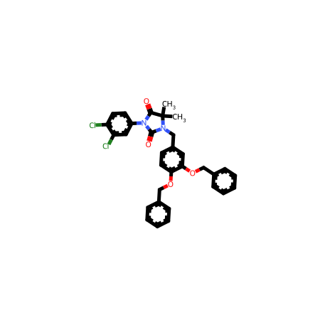 CC1(C)C(=O)N(c2ccc(Cl)c(Cl)c2)C(=O)N1Cc1ccc(OCc2ccccc2)c(OCc2ccccc2)c1